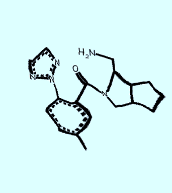 Cc1ccc(-n2nccn2)c(C(=O)N2CC3CCCC3C2CN)c1